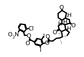 C[C@H](CCC(=O)Oc1c(I)cc(C(=O)OCc2c(Cl)cccc2[N+](=O)[O-])cc1I)[C@H]1CC[C@H]2[C@@H]3C(=O)C[C@@H]4CC(=O)CC[C@]4(C)[C@H]3CC(=O)[C@]12C